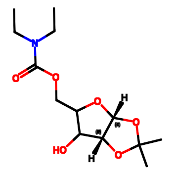 CCN(CC)C(=O)OCC1O[C@@H]2OC(C)(C)O[C@@H]2C1O